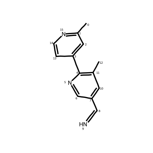 Cc1cc(-c2ncc(C=N)cc2C)ccn1